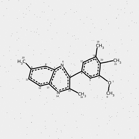 COc1cc(-c2nc3cc(C)ccc3nc2C)cc(C)c1C